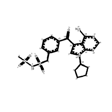 CS(=O)(=O)NS(=O)(=O)Cc1cccc(C(=O)c2cn(C3CCCC3)c3ncnc(N)c23)c1